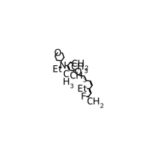 C=C/C(=C(/C)C(C)(C)OCCC/C=C\C(=C\C(=C)F)CC)N(CC)C1CCOCC1